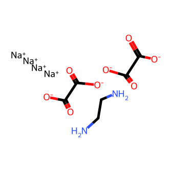 NCCN.O=C([O-])C(=O)[O-].O=C([O-])C(=O)[O-].[Na+].[Na+].[Na+].[Na+]